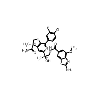 COc1cc(C(=O)NC[C@](C)(O)c2cc3c(c(-c4ccc(Cl)c(F)c4)n2)OC[C@]3(C)C(N)=O)cc2sc(N)nc12